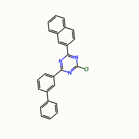 Clc1nc(-c2cccc(-c3ccccc3)c2)nc(-c2ccc3ccccc3c2)n1